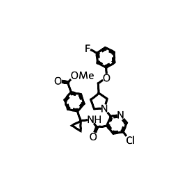 COC(=O)c1ccc(C2(NC(=O)c3cc(Cl)cnc3N3CCC(COc4cccc(F)c4)C3)CC2)cc1